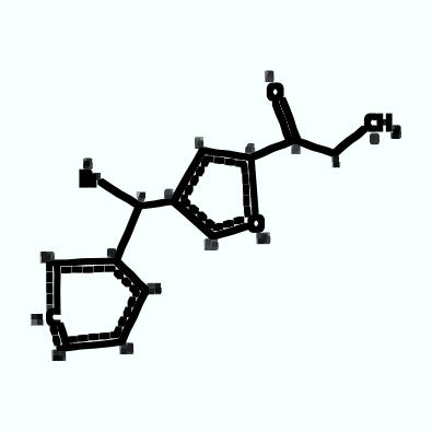 CCC(=O)c1cc(C(Br)c2ccccc2)co1